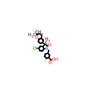 CC1(C)CCc2cc([C@]3(C)C(=O)N(Cc4ccc(F)c(C(=O)O)c4)c4ccc(Cl)cc43)ccc2O1